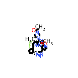 C=CC(=O)N1CCN(c2nc(=O)n3c4nc(c(F)cc24)-c2c(F)cccc2Cn2cc(nn2)-c2ccnc(C(C)C)c2-3)[C@@H](C)C1